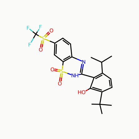 CC(C)c1ccc(C(C)(C)C)c(O)c1C1=Nc2ccc(S(=O)(=O)C(F)(F)F)cc2S(=O)(=O)N1